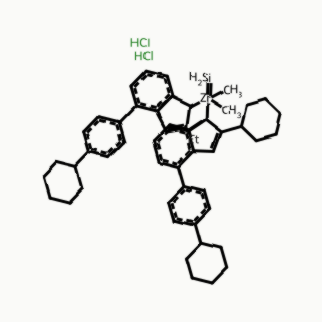 CCC1=Cc2c(-c3ccc(C4CCCCC4)cc3)cccc2[CH]1[Zr]([CH3])([CH3])(=[SiH2])[CH]1C(C2CCCCC2)=Cc2c(-c3ccc(C4CCCCC4)cc3)cccc21.Cl.Cl